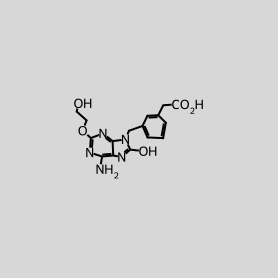 Nc1nc(OCCO)nc2c1nc(O)n2Cc1cccc(CC(=O)O)c1